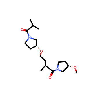 CO[C@H]1CCN(C(=O)C(C)CCO[C@@H]2CCN(C(=O)C(C)C)C2)C1